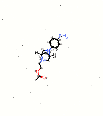 CC(=O)OCCN1C[C@@H]2C[C@H]1CN2c1ccc(N)cc1